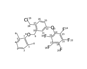 Cc1cccc(C)c1OCc1cc(Oc2c(F)c(F)c(F)c(F)c2F)ccc1CCl